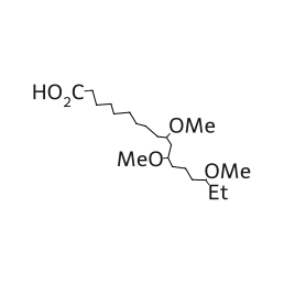 CCC(CCCC(CC(CCCCCCCCC(=O)O)OC)OC)OC